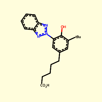 CC(C)(C)c1cc(CCCCC(=O)O)cc(-n2nc3ccccc3n2)c1O